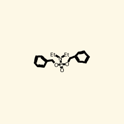 CCN(CC)P(=O)(OCc1ccccc1)OCc1ccccc1